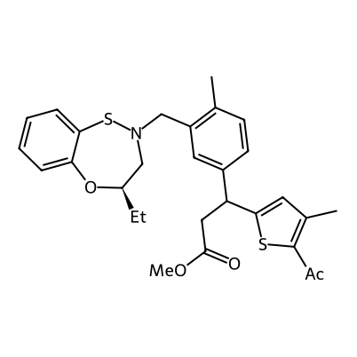 CC[C@@H]1CN(Cc2cc(C(CC(=O)OC)c3cc(C)c(C(C)=O)s3)ccc2C)Sc2ccccc2O1